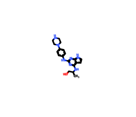 CC(CO)Nc1nc(Nc2ccc(N3CCNCC3)cc2)nc2[nH]ccc12